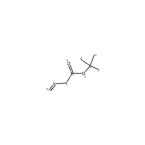 [CH]=CCC(=O)OC(C)(C)C